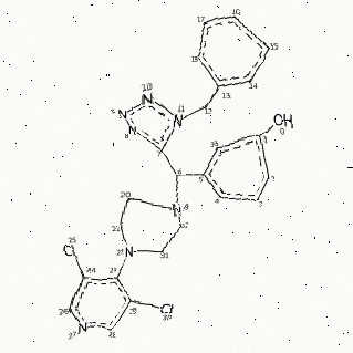 Oc1cccc(C(c2nnnn2Cc2ccccc2)N2CCN(c3c(Cl)cncc3Cl)CC2)c1